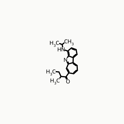 CCC(C)C(=O)c1cccc2c3cccc(NC(C)C)c3nc-2c1